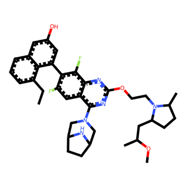 CCc1cccc2cc(O)cc(-c3c(F)cc4c(N5CC6CCC(C5)N6)nc(OCCN5C(C)CCC5CC(C)OC)nc4c3F)c12